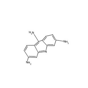 Nc1ccc2c(N)c3ccc(N)cc3nc2c1